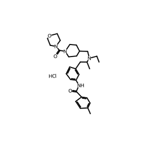 CCN(CC1CCN(C(=O)N2CCOCC2)CC1)C(C)Cc1cccc(NC(=O)c2ccc(C)cc2)c1.Cl